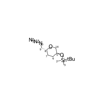 CC(C)(C)[Si](C)(C)O[C@H]1CC[C@H](CN=[N+]=[N-])OC1